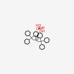 [O]=[Cr](=[O])([OH])[OH].c1ccc(C(C[SiH2]CC(c2ccccc2)(c2ccccc2)c2ccccc2)(c2ccccc2)c2ccccc2)cc1